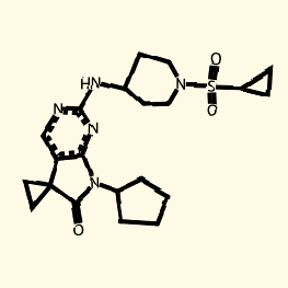 O=C1N(C2CCCC2)c2nc(NC3CCN(S(=O)(=O)C4CC4)CC3)ncc2C12CC2